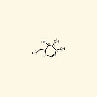 OCC1OC=CC(O)C(O)C1O